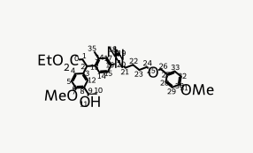 CCOC(=O)CC(c1ccc(OC)c([C@@H](C)O)c1)c1ccc2c(nnn2CCCCOCc2ccc(OC)cc2)c1C